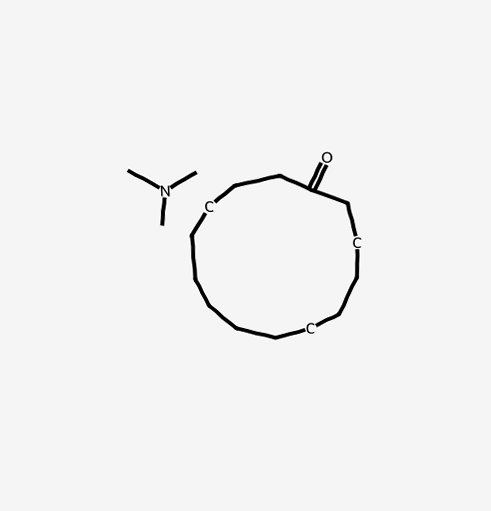 CN(C)C.O=C1CCCCCCCCCCCCC1